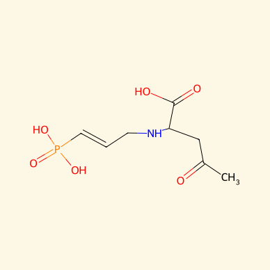 CC(=O)CC(NCC=CP(=O)(O)O)C(=O)O